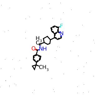 C[C@@H](NC(=O)c1ccc(C2(C)CC2)cc1)C1CCC(c2ccnc3c(F)cccc23)CC1